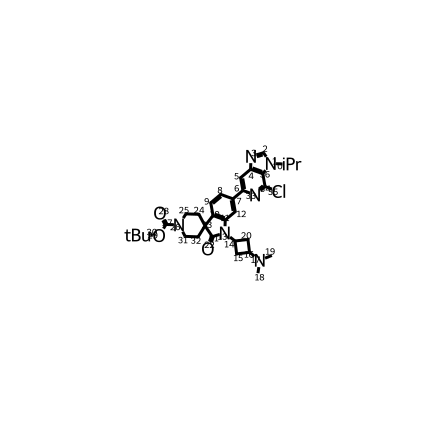 CC(C)n1cnc2cc(-c3ccc4c(c3)N(C3CC(N(C)C)C3)C(=O)C43CCN(C(=O)OC(C)(C)C)CC3)nc(Cl)c21